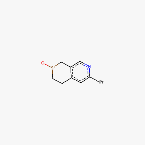 CC(C)c1cc2c(cn1)C[S+]([O-])CC2